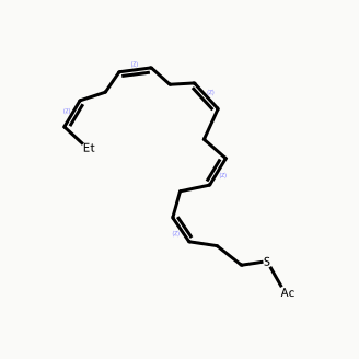 CC/C=C\C/C=C\C/C=C\C/C=C\C/C=C\CCSC(C)=O